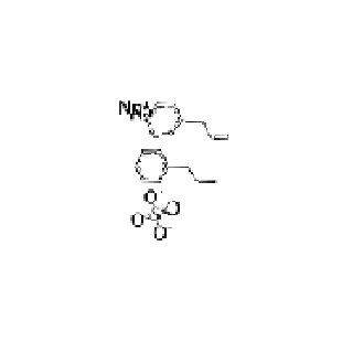 C=CCc1ccccc1.C=CCc1ccccc1.O=S(=O)([O-])[O-].[Na+].[Na+]